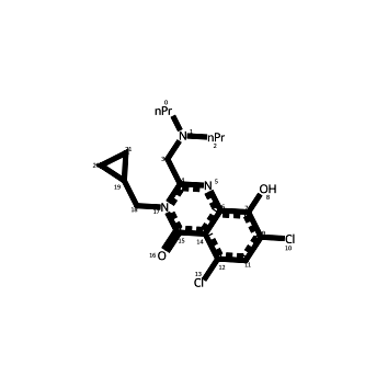 CCCN(CCC)Cc1nc2c(O)c(Cl)cc(Cl)c2c(=O)n1CC1CC1